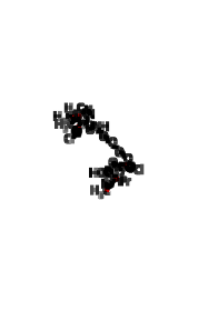 Cc1cc(C(C(=O)N2C[C@H](O)C[C@H]2C(=O)NCc2ccc(Cl)cc2OCCOCCOCCOCCNC(=O)C[C@@H]2N=C(c3ccc(Cl)cc3)c3c(sc(C)c3C)-n3c(C)nnc32)C(C)C)on1